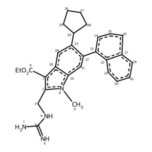 CCOC(=O)c1c(CNC(=N)N)n(C)c2cc(-c3cccc4ccccc34)c(C3CCCC3)cc12